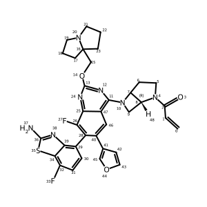 C=CC(=O)N1CCC2[C@H]1CN2c1nc(OCC23CCCN2CCC3)nc2c(F)c(-c3ccc(F)c4sc(N)nc34)c(-c3ccoc3)cc12